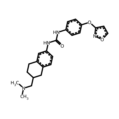 CN(C)CC1CCc2cc(NC(=O)Nc3ccc(Oc4ccon4)cc3)ccc2C1